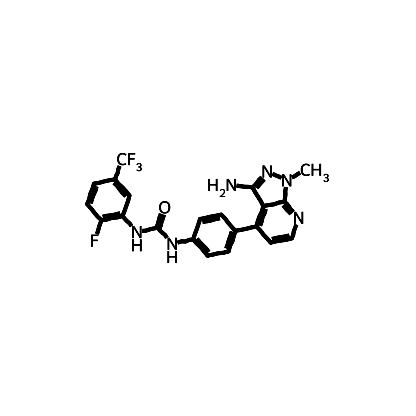 Cn1nc(N)c2c(-c3ccc(NC(=O)Nc4cc(C(F)(F)F)ccc4F)cc3)ccnc21